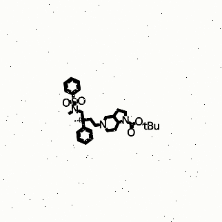 CN(C[C@@](C)(CCN1CCC2C(CCN2C(=O)OC(C)(C)C)C1)c1ccccc1)S(=O)(=O)c1ccccc1